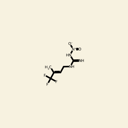 C/C(=C\CNC(=N)N[N+](=O)[O-])C(F)(F)F